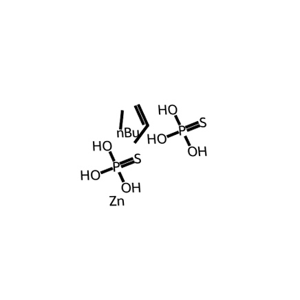 C=CC.CCCCC.OP(O)(O)=S.OP(O)(O)=S.[Zn]